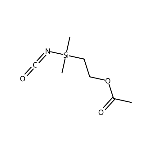 CC(=O)OCC[Si](C)(C)N=C=O